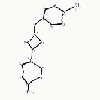 CC1CCN(C2CN(CC3CCN(C)CC3)C2)CC1